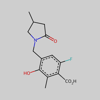 Cc1c(O)c(CN2CC(C)CC2=O)cc(F)c1C(=O)O